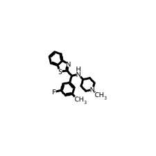 Cc1cc(F)cc(C(NC2CCN(C)CC2)c2nc3ccccc3s2)c1